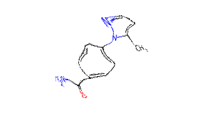 Cc1ccnn1-c1c[c]c(C(N)=O)cc1